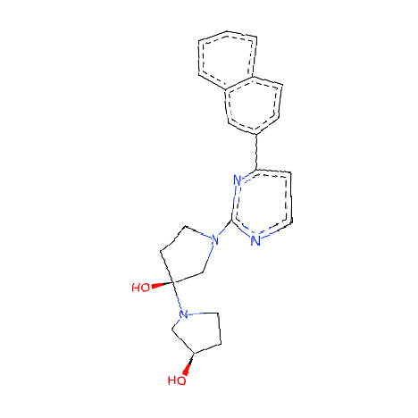 O[C@@H]1CCN([C@]2(O)CCN(c3nccc(-c4ccc5ccccc5c4)n3)C2)C1